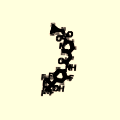 O=C(Cc1ccc(S(=O)(=O)CC2CC2)nc1)Nc1ccc(C(O)(C(F)(F)F)C(F)(F)F)cc1F